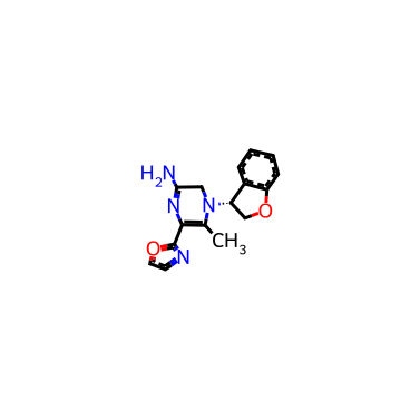 CC1=C(c2ncco2)N=C(N)CN1[C@H]1COc2ccccc21